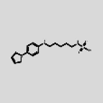 CC(C)S(=O)(=O)NCCCCCNc1ccc(N2CC=CC2)cc1